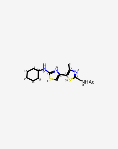 CC(=O)Nc1nc(C)c(-c2csc(NC3CCCCC3)n2)s1